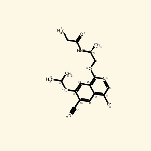 CCC(=O)N[C@@H](C)COc1ncc(Br)c2cc(C#N)c(OC(C)C)cc12